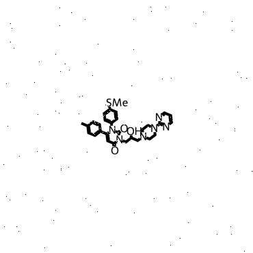 CSc1ccc(-n2c(-c3ccc(C)cc3)cc(=O)n(CC(O)CN3CCN(c4ncccn4)CC3)c2=O)cc1